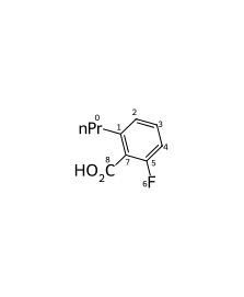 CCCc1cccc(F)c1C(=O)O